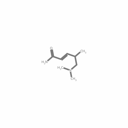 CC(C=CC(N)=O)CN(C)C